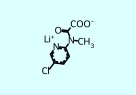 CN(C(=O)C(=O)[O-])c1ccc(Cl)cn1.[Li+]